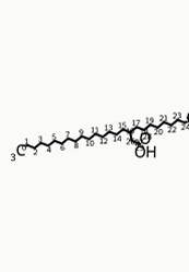 CCCCCCCCCCCCCCCCC(CCCCCCCCC)CC(=O)O